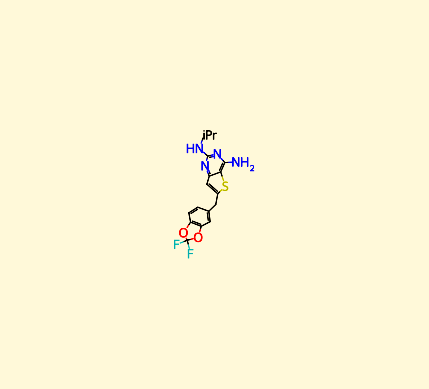 CC(C)Nc1nc(N)c2sc(Cc3ccc4c(c3)OC(F)(F)O4)cc2n1